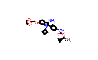 C[C@@H](OC(=O)Nc1ccc(-c2c(N)c3ccc(OCC4OCCO4)cc3n2C2CCC2)cc1)C1CC1